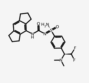 CN(C)[C@@H](c1ccc([S@](N)(=O)=NC(=O)Nc2c3c(cc4c2CCC4)CCC3)cc1)C(F)F